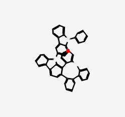 c1ccc(-n2c3ccccc3c3cc(-n4c5ccccc5c5ccc6c7ccccc7c7ccccc7oc7ccccc7c6c54)ccc32)cc1